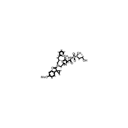 COc1ccc(C2(C(=O)N(CCCc3ccco3)Cc3nc(C(=O)NS(=O)(=O)N(C)CCO)c(C)s3)CC2)cc1